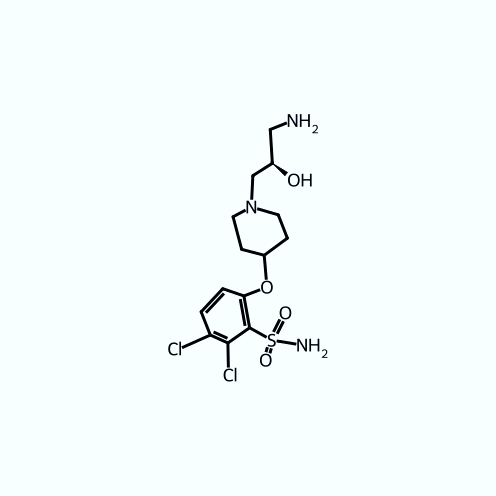 NC[C@@H](O)CN1CCC(Oc2ccc(Cl)c(Cl)c2S(N)(=O)=O)CC1